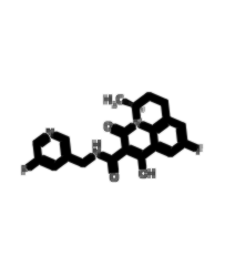 C[C@H]1CCc2cc(F)cc3c(O)c(C(=O)NCc4cncc(F)c4)c(=O)n1c23